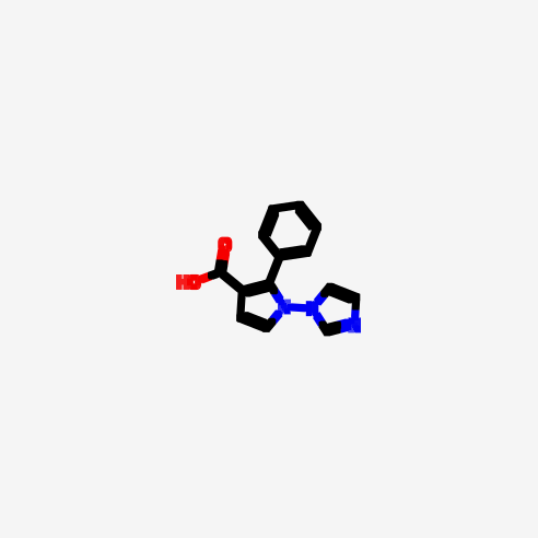 O=C(O)c1ccn(-n2ccnc2)c1-c1ccccc1